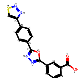 O=C(O)c1cccc(-c2nnc(-c3ccc(-c4csnn4)cc3)o2)c1